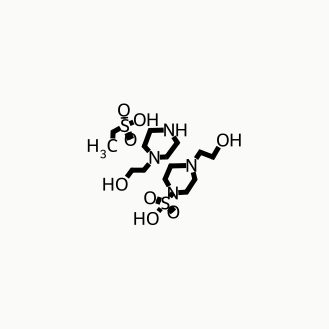 CCS(=O)(=O)O.O=S(=O)(O)N1CCN(CCO)CC1.OCCN1CCNCC1